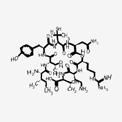 CC[C@H](C)[C@H](N)C(=O)N[C@H](C(=O)N[C@@H](Cc1ccc(O)cc1)C(=O)N[C@H](C(=O)N[C@@H](CC(N)=O)C(=O)N[C@@H](CCCNC(=N)N)C(=O)N[C@@H](CCN)C(=O)N[C@H](C(=O)O)[C@@H](C)O)C(C)(C)S)[C@@H](C)O